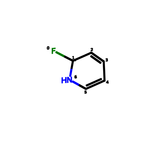 F[C]1C=CC=CN1